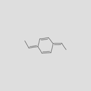 CC=c1ccc(=CC)cc1